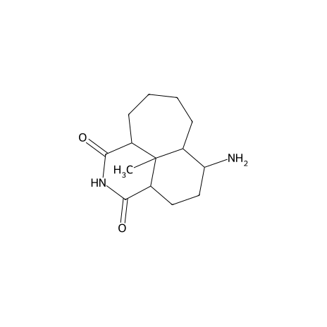 CC12C3CCCCC1C(N)CCC2C(=O)NC3=O